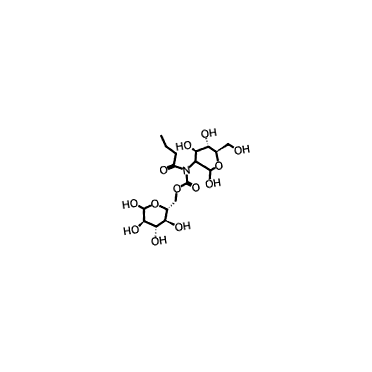 CCCC(=O)N(C(=O)OC[C@H]1OC(O)[C@H](O)[C@@H](O)[C@@H]1O)C1C(O)O[C@H](CO)[C@@H](O)[C@@H]1O